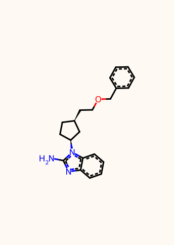 Nc1nc2ccccc2n1[C@H]1CC[C@@H](CCOCc2ccccc2)C1